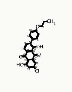 CCCOc1ccc(-c2ccc3c(c2O)C(=O)c2cc(Cl)cc(O)c2C3=O)cc1